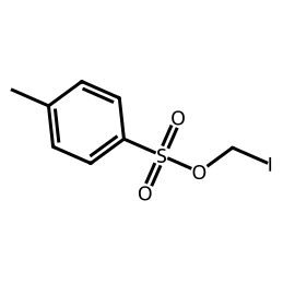 Cc1ccc(S(=O)(=O)OCI)cc1